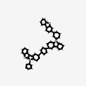 c1ccc(-n2c3ccc(-c4ccc(-c5ccc6c(c5)c5ccccc5n6-c5cccc(-c6ccc7c(c6)oc6ccccc67)c5)cc4)cc3c3c4ccccc4oc32)cc1